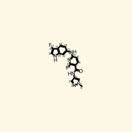 Cn1cc(NC(=O)c2ccc(Nc3ccc4c(F)c[nH]c4c3)nc2F)cn1